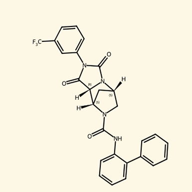 O=C1[C@H]2[C@@H]3C[C@@H](CN3C(=O)Nc3ccccc3-c3ccccc3)N2C(=O)N1c1cccc(C(F)(F)F)c1